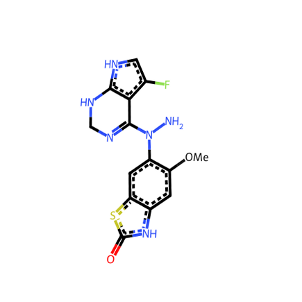 COc1cc2[nH]c(=O)sc2cc1N(N)C1=NCNc2[nH]cc(F)c21